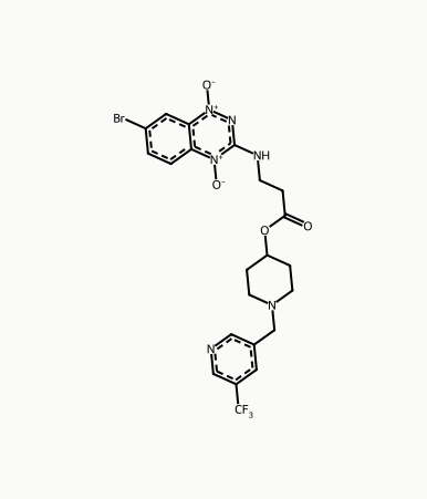 O=C(CCNc1n[n+]([O-])c2cc(Br)ccc2[n+]1[O-])OC1CCN(Cc2cncc(C(F)(F)F)c2)CC1